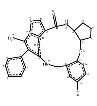 Nc1c(-c2ccccc2)c2nc3c(cnn13)C(=O)NC1CCCC1Oc1ncc(F)cc1CN2